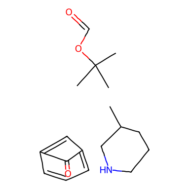 CC(C)(C)OC=O.CC1CCCNC1.O=C1c2cccc1c2